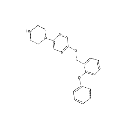 c1ccc(Oc2ccccc2COc2cnc(N3CCNCC3)cn2)cc1